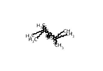 CCCCCCCCC1(CCCCCCCC)c2cc(C)sc2-c2sc(-c3ccc(-c4cc5c(s4)-c4sc(C)cc4C5(CCCCCCCC)CCCCCCCC)c4nsnc34)cc21